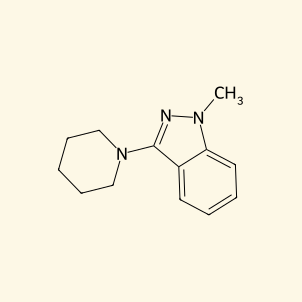 Cn1nc(N2CCCCC2)c2ccccc21